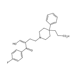 O=C(O)CCC1(c2ccccc2)CCN(CCC(=CO)C(=O)c2ccc(F)cc2)CC1